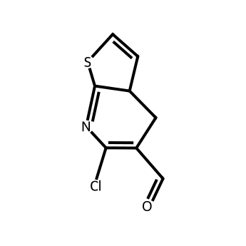 O=CC1=C(Cl)N=C2SC=CC2C1